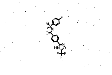 CS(=O)(=NC(=O)c1ccc(C2=NOC(C(F)(F)F)N2)cc1)c1ccc(F)cc1